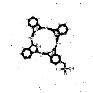 O=P(O)(O)Cc1ccc2c(c1)C1=NC/2=N\C2NC(/N=C3N=C(/N=c4\[nH]/c(c5ccccc45)=N\1)c1ccccc1\3)c1ccccc12